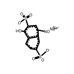 O=Nc1cc(S(=O)(=O)[O-])c(O)c2ccc(S(=O)(=O)[O-])cc12.[Na+].[Na+]